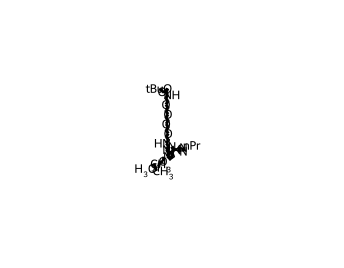 CCCn1cc(-c2nc(NCCOCCOCCOCCOCCNC(=O)OC(C)(C)C)nc3c2ccn3COCC[Si](C)(C)C)cn1